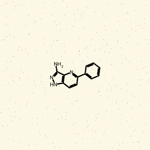 Nc1n[nH]c2ccc(-c3ccccc3)nc12